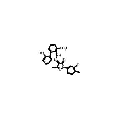 CC1=NN(c2ccc(C)c(F)c2)C(=O)/C1=N\Nc1c(C(=O)O)cccc1-c1ccccc1O